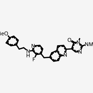 CNc1ncc(-c2ccc3cc(Cc4ccnc(NCCc5ccc(OC)cc5)c4F)ccc3n2)c(=O)n1C